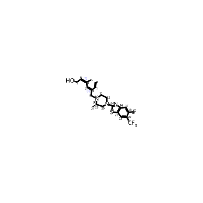 C=C/C(=C\C(C)=C/CO)CN1CCN(c2nc3cc(F)c(C(F)(F)F)cc3s2)C[C@H]1C